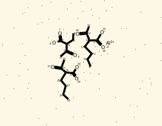 CCC(C(C)=O)C(=O)[O-].CCCCC(C(C)=O)C(=O)[O-].CCCCC(C(C)=O)C(=O)[O-].[Al+3]